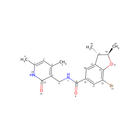 Cc1cc(C)c(CNC(=O)c2cc(Br)c3c(c2)[C@H](C)[C@@H](C)O3)c(=O)[nH]1